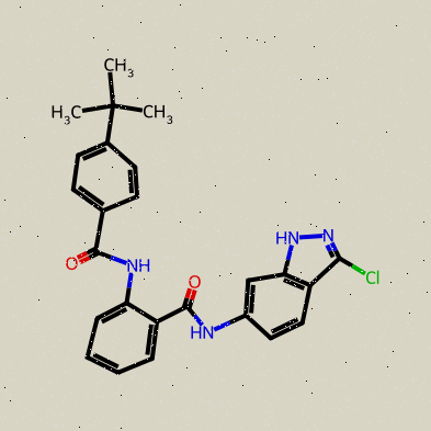 CC(C)(C)c1ccc(C(=O)Nc2ccccc2C(=O)Nc2ccc3c(Cl)n[nH]c3c2)cc1